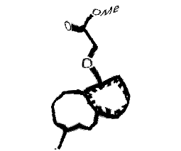 [CH2]C1CCc2c(cccc2OCC(=O)OC)C1